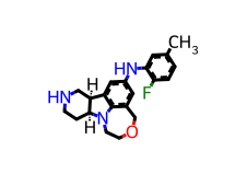 Cc1ccc(F)c(Nc2cc3c4c(c2)[C@@H]2CNCC[C@@H]2N4CCOC3)c1